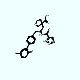 O=C(N[C@@H](Cc1ccc(-c2cc(Cl)ccc2F)cc1)CC1(C(=O)O)CCOC1)c1cnn[nH]1